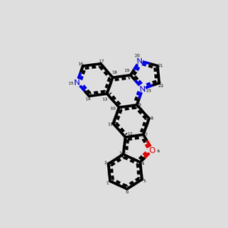 c1ccc2c(c1)oc1cc3c(cc12)c1cnccc1c1nccn31